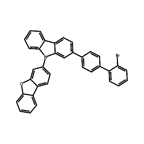 Brc1ccccc1-c1ccc(-c2ccc3c4ccccc4n(-c4ccc5c(c4)oc4ccccc45)c3c2)cc1